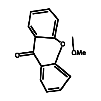 COC.O=c1c2ccccc2oc2ccccc12